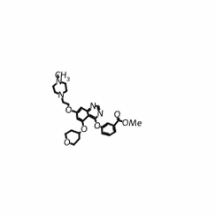 COC(=O)c1cccc(Oc2ncnc3cc(OCCN4CCN(C)CC4)cc(OC4CCOCC4)c23)c1